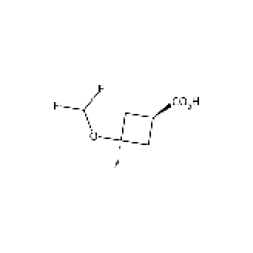 C[C@]1(OC(F)F)C[C@@H](C(=O)O)C1